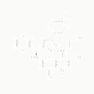 COCCNc1c(C#N)cnc2c(Cl)cc(N[C@@H](c3ccccc3)c3cn(C4CCN(C(C)(C)C)CC4)nn3)cc12